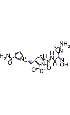 NC(=O)c1ccc[n+](C/C=C/C2=C(C(=O)[O-])N3C(=O)[C@@H](NC(=O)/C(=N\O)c4csc(N)n4)[C@H]3SC2)c1